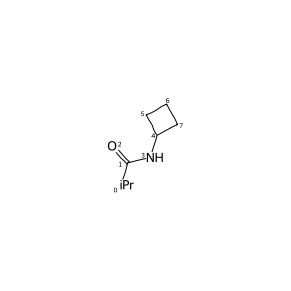 CC(C)C(=O)NC1CCC1